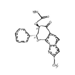 Cc1cn2ccc3c(c2n1)O[C@H](c1ccccc1)[C@@H](OC(=O)C(C)(C)C)C3=O